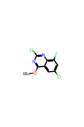 CC(C)(C)Oc1nc(Cl)nc2c(F)cc(Cl)cc12